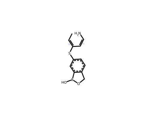 C/C=C(\C=C/N)Sc1ccc2c(c1)B(O)OC2